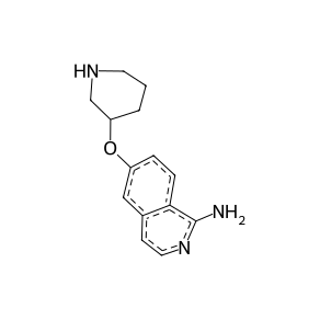 Nc1nccc2cc(OC3CCCNC3)ccc12